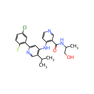 CC(CO)NC(=O)c1cnccc1Nc1cc(-c2cc(Cl)ccc2F)ncc1C(C)C